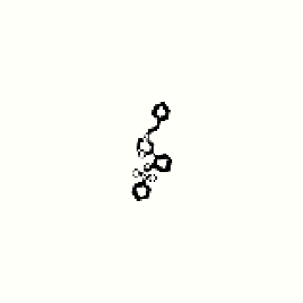 O=S(=O)(Oc1ccccc1[C@@H]1CN(CCc2ccccc2)CCO1)c1ccccc1